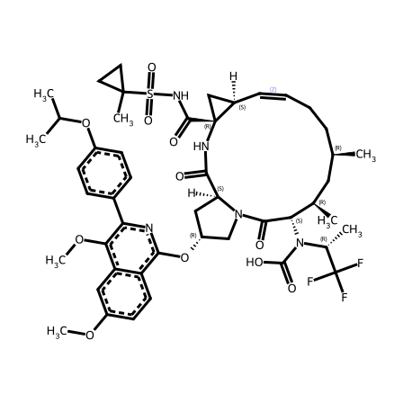 COc1ccc2c(O[C@@H]3C[C@H]4C(=O)N[C@]5(C(=O)NS(=O)(=O)C6(C)CC6)C[C@H]5/C=C\CC[C@@H](C)C[C@@H](C)[C@H](N(C(=O)O)[C@H](C)C(F)(F)F)C(=O)N4C3)nc(-c3ccc(OC(C)C)cc3)c(OC)c2c1